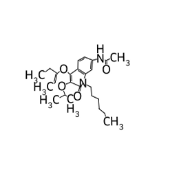 CC=C(CC)Oc1c(OC(C)C)c(=O)n(CCCCCC)c2cc(NC(C)=O)ccc12